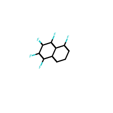 FC1CCCC2C(F)C(F)C(F)C(F)C12